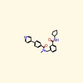 CN(Cc1cccc(C(=O)NC2CCCC2)c1)C(=O)c1ccc(-c2ccncc2)cc1